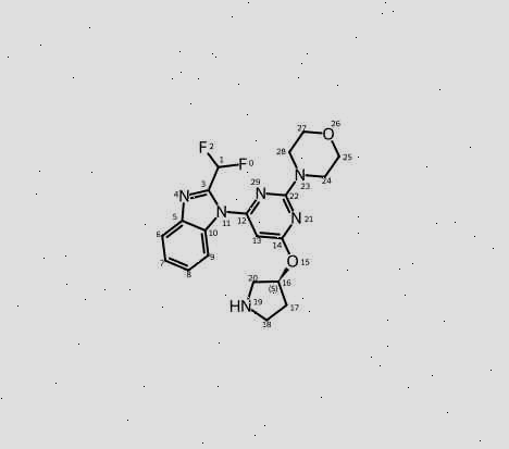 FC(F)c1nc2ccccc2n1-c1cc(O[C@H]2CCNC2)nc(N2CCOCC2)n1